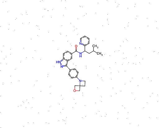 CC(C)CC(NC(=O)c1ccc2[nH]nc(-c3ccc(N4CCC45COC5)cc3)c2c1)c1ccccn1